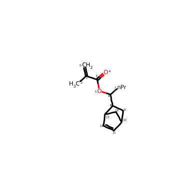 C=C(C)C(=O)OC(CCC)C1CC2C=CC1C2